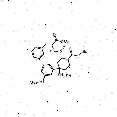 COC(=O)[C@@H](Cc1ccccc1)NC(=O)[C@H]1C[C@@](C)(c2cccc(OSC)c2)[C@@H](C)CN1C(=O)OC(C)(C)C